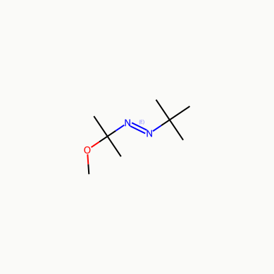 COC(C)(C)/N=N/C(C)(C)C